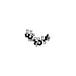 Cc1cc(C(=O)NC2CCC3SCC(C(=O)NC(C#N)CC4CCNC4O)N3C2=O)no1